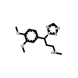 CNCCC(c1ccc(OC)c(OC)c1)n1ncnn1